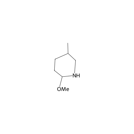 COC1CCC(C)CN1